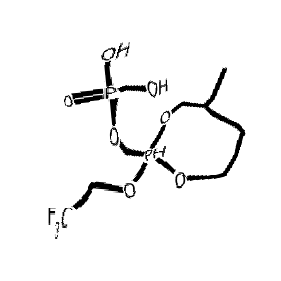 CC1CCO[PH](OCC(F)(F)F)(OP(=O)(O)O)O1